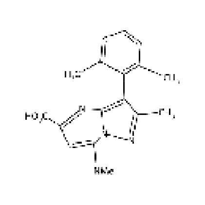 CNc1cc(C(=O)O)nc2c(-c3c(C)cccc3C)c(C)nn12